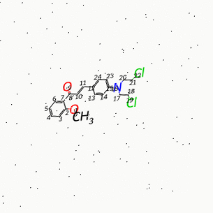 COc1ccccc1C(=O)/C=C/c1ccc(N(CCCl)CCCl)cc1